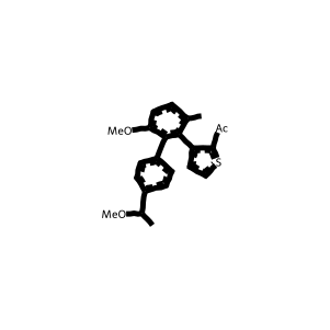 COc1ccc(C)c(-c2ccsc2C(C)=O)c1-c1ccc(C(C)OC)cc1